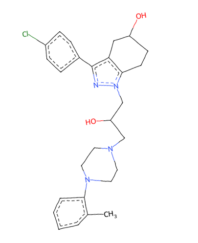 Cc1ccccc1N1CCN(CC(O)Cn2nc(-c3ccc(Cl)cc3)c3c2CCC(O)C3)CC1